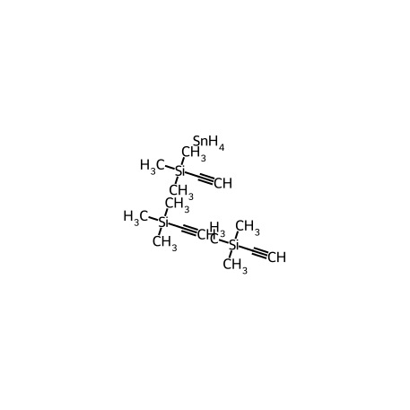 C#C[Si](C)(C)C.C#C[Si](C)(C)C.C#C[Si](C)(C)C.[SnH4]